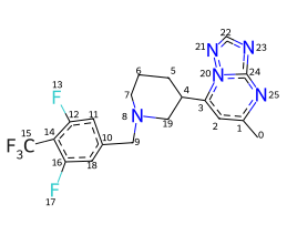 Cc1cc(C2CCCN(Cc3cc(F)c(C(F)(F)F)c(F)c3)C2)n2ncnc2n1